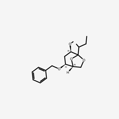 CCC(C)C12OC[C@@H](O1)[C@@H](OCc1ccccc1)C[C@H]2OC